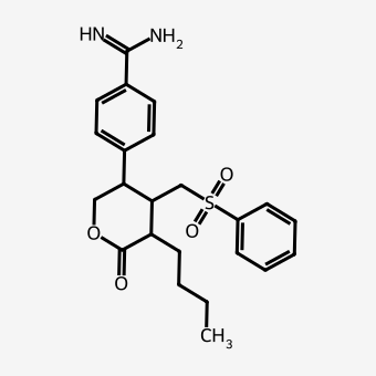 CCCCC1C(=O)OCC(c2ccc(C(=N)N)cc2)C1CS(=O)(=O)c1ccccc1